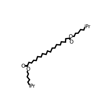 CC(C)CCCCCOC(=O)CCCCCCCCCCCCCCCCCC(=O)OCCCCCC(C)C